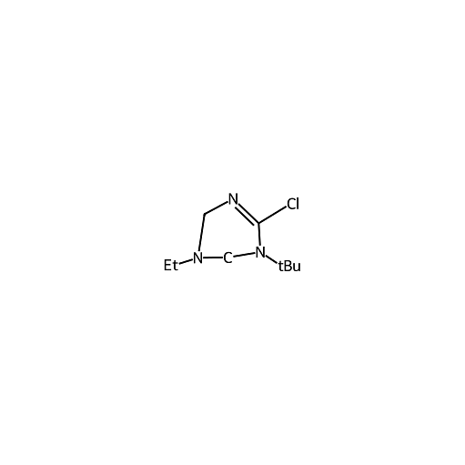 CCN1CN=C(Cl)N(C(C)(C)C)C1